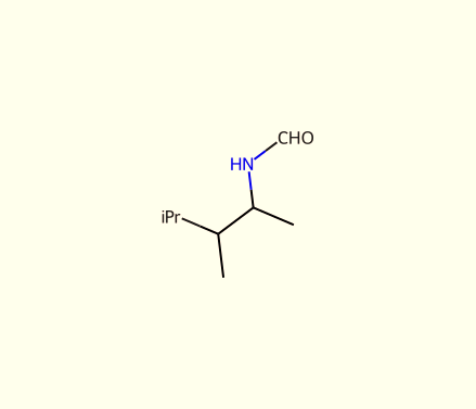 CC(C)C(C)C(C)NC=O